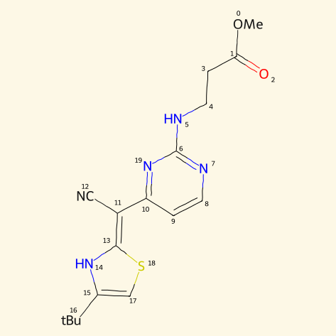 COC(=O)CCNc1nccc(/C(C#N)=C2/NC(C(C)(C)C)=CS2)n1